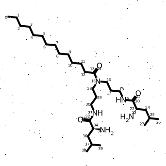 CCCCCCCCCCCCCC(=O)N(CCCNC(=O)[C@@H](N)CC(C)C)CCCNC(=O)[C@@H](N)CC(C)C